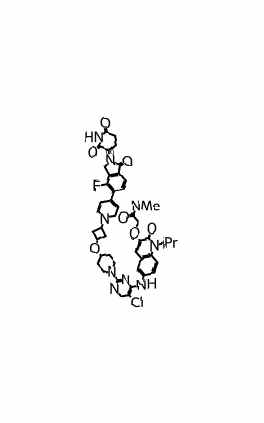 CNC(=O)COc1cc2cc(Nc3nc(N4CCC(OC5CC(N6CC=C(c7ccc8c(c7F)CN([C@@H]7CCC(=O)NC7=O)C8=O)CC6)C5)CC4)ncc3Cl)ccc2n(C(C)C)c1=O